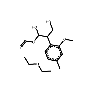 CCOCC.COc1cc(C)ccc1C(CO)C(O)OC=O